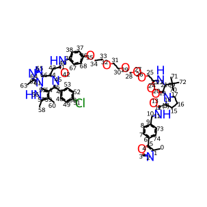 Cc1ncoc1-c1ccc(CNC(=O)[C@@H]2CCCN2C(=O)C(NC(=O)COOCOCCOCCOc2ccc(NC(=O)CC3N=C(c4ccc(Cl)cc4)c4c([nH]c(C)c4C)-n4c(C)nnc43)cc2)C(C)(C)C)cc1